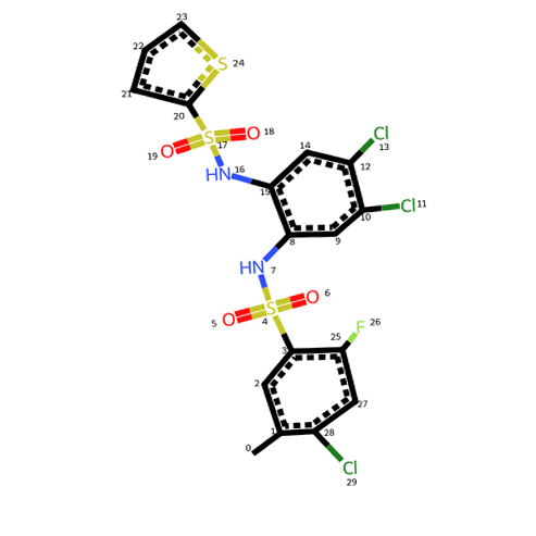 Cc1cc(S(=O)(=O)Nc2cc(Cl)c(Cl)cc2NS(=O)(=O)c2cccs2)c(F)cc1Cl